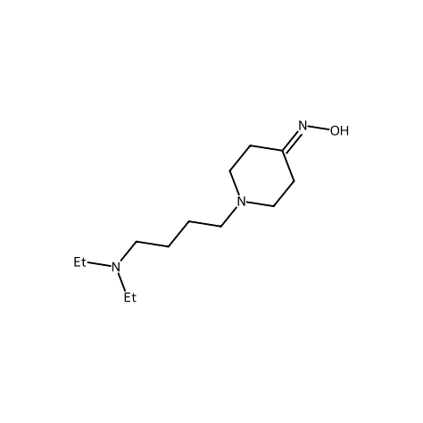 CCN(CC)CCCCN1CCC(=NO)CC1